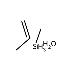 C=CC.C[SiH3].O